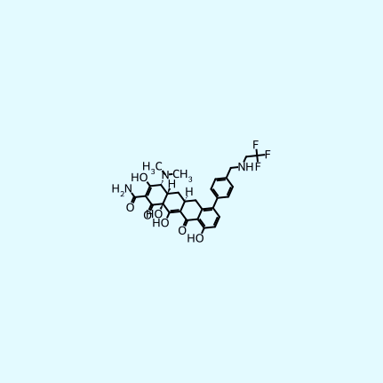 CN(C)[C@H]1C(O)=C(C(N)=O)C(=O)[C@@]2(O)C(O)=C3C(=O)c4c(O)ccc(-c5ccc(CNCC(F)(F)F)cc5)c4C[C@@H]3C[C@@H]12